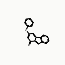 O=C1C=C(Oc2ccccc2)C=C2C1=Cc1ccccc12